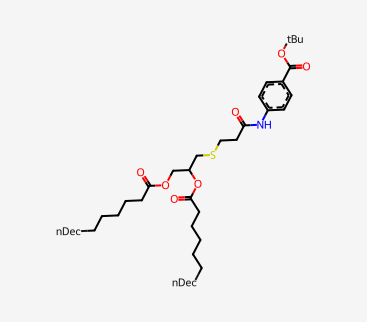 CCCCCCCCCCCCCCCC(=O)OCC(CSCCC(=O)Nc1ccc(C(=O)OC(C)(C)C)cc1)OC(=O)CCCCCCCCCCCCCCC